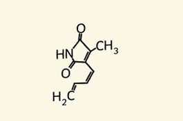 C=C/C=C\C1=C(C)C(=O)NC1=O